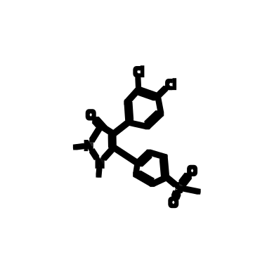 Cn1c(-c2ccc(S(C)(=O)=O)cc2)c(-c2ccc(Cl)c(Cl)c2)c(=O)n1C